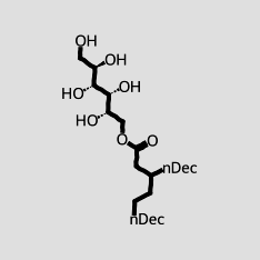 CCCCCCCCCCCCC(CCCCCCCCCC)CC(=O)OC[C@H](O)[C@@H](O)[C@H](O)[C@H](O)CO